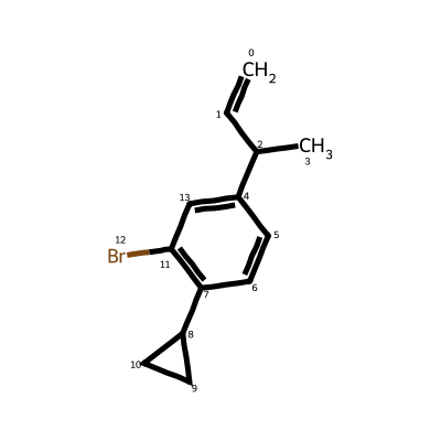 C=C[C](C)c1ccc(C2CC2)c(Br)c1